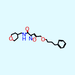 O=C(NCC1CCOCC1)c1cc(COCCCCc2ccccc2)on1